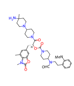 CNc1ccccc1CCN(C=O)C1CCN(C(=O)O[C@H](Cc2cc(C)c3c(c2)oc(=O)n3C)C(=O)N2CCC(N3CCC(C)(N)CC3)CC2)CC1